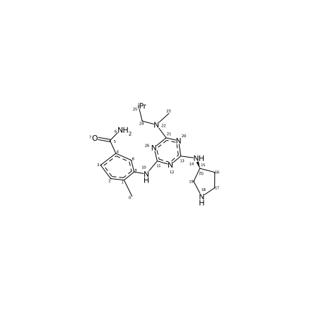 Cc1ccc(C(N)=O)cc1Nc1nc(N[C@H]2CCNC2)nc(N(C)CC(C)C)n1